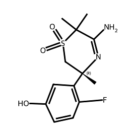 CC1(C)C(N)=N[C@](C)(c2cc(O)ccc2F)CS1(=O)=O